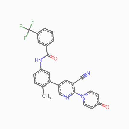 Cc1ccc(NC(=O)c2cccc(C(F)(F)F)c2)cc1-c1cnc(-n2ccc(=O)cc2)c(C#N)c1